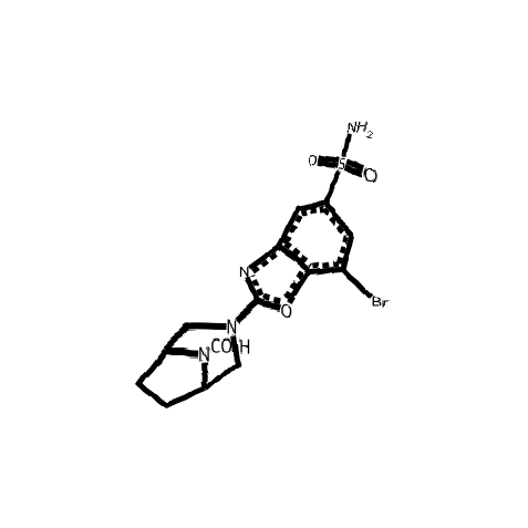 NS(=O)(=O)c1cc(Br)c2oc(N3CC4CCC(C3)N4C(=O)O)nc2c1